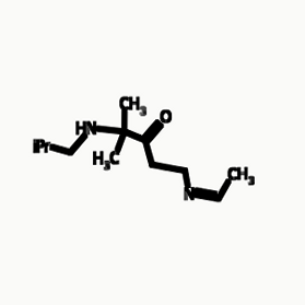 C/C=N\CCC(=O)C(C)(C)NCC(C)C